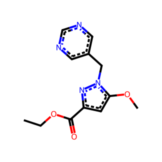 CCOC(=O)c1cc(OC)n(Cc2cncnc2)n1